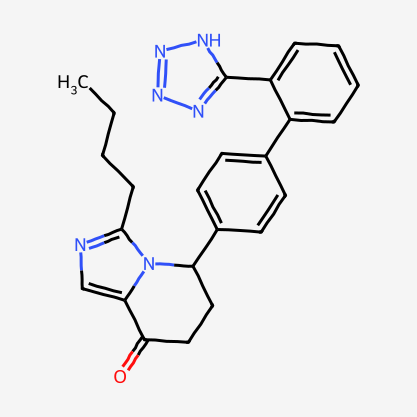 CCCCc1ncc2n1C(c1ccc(-c3ccccc3-c3nnn[nH]3)cc1)CCC2=O